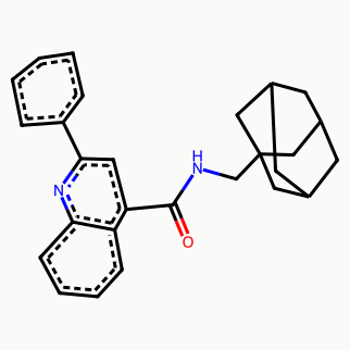 O=C(NCC12CC3CC(CC(C3)C1)C2)c1cc(-c2ccccc2)nc2ccccc12